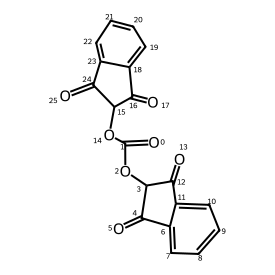 O=C(OC1C(=O)c2ccccc2C1=O)OC1C(=O)c2ccccc2C1=O